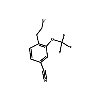 N#Cc1ccc(CCBr)c(OC(F)(F)F)c1